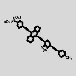 CCCCCCCCN(CCCCCCCC)c1ccc(C#Cc2c3ccccc3c(C#Cc3ccc(C#Cc4ccc(C)cc4)c4nsnc34)c3ccccc23)cc1